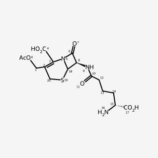 CC(=O)OCC1=C(C(=O)O)N2C(=O)[C@@H](NC(=O)CCC[C@@H](N)C(=O)O)C2SC1